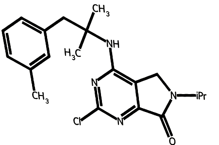 Cc1cccc(CC(C)(C)Nc2nc(Cl)nc3c2CN(C(C)C)C3=O)c1